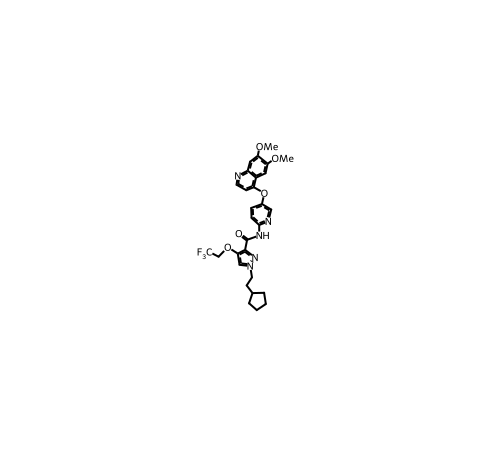 COc1cc2nccc(Oc3ccc(NC(=O)c4nn(CCC5CCCC5)cc4OCC(F)(F)F)nc3)c2cc1OC